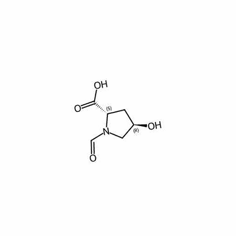 O=CN1C[C@H](O)C[C@H]1C(=O)O